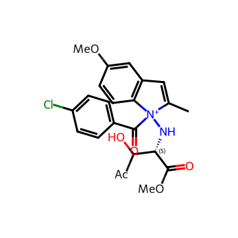 COC(=O)[C@@H](N[N+]1(C(=O)c2ccc(Cl)cc2)C(C)=Cc2cc(OC)ccc21)C(O)C(C)=O